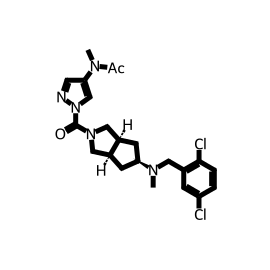 CC(=O)N(C)c1cnn(C(=O)N2C[C@H]3C[C@@H](N(C)Cc4cc(Cl)ccc4Cl)C[C@H]3C2)c1